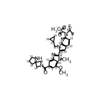 COc1cc(C(=O)N2CC3(CCCN3)C2)cc2nc(-c3cc4ccc(N(C(F)F)S(C)(=O)=O)nc4n3CC3CC3)n(C)c12